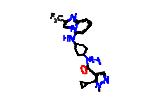 Cn1ncc(C(=O)NC2CCC(Nc3cccc4nc(C(F)(F)F)cn34)CC2)c1C1CC1